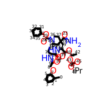 Cc1ccccc1OCC(=O)NC(CC(C)C)C(=O)N[C@@H](CC1(C(N)=O)CCN(C(=O)Oc2ccccc2)CC1)C(=O)OC(C)OC(=O)OC(C)C